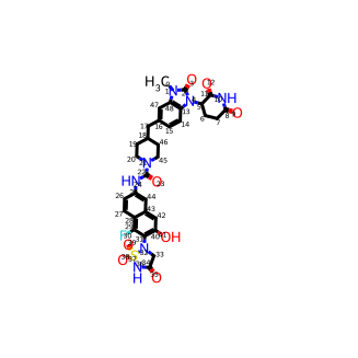 Cn1c(=O)n(C2CCC(=O)NC2=O)c2ccc(CC3CCN(C(=O)Nc4ccc5c(F)c(N6CC(=O)NS6(=O)=O)c(O)cc5c4)CC3)cc21